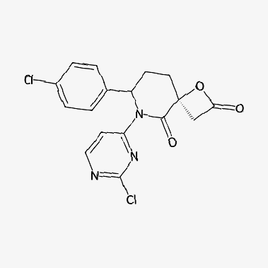 O=C1C[C@]2(CCC(c3ccc(Cl)cc3)N(c3ccnc(Cl)n3)C2=O)O1